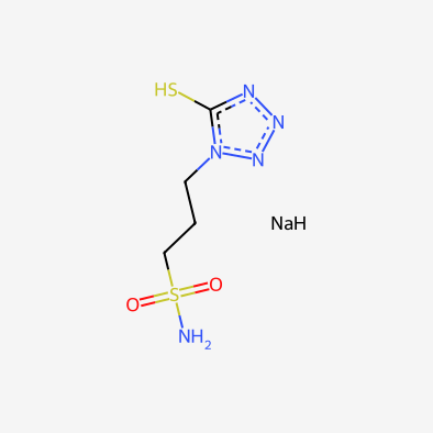 NS(=O)(=O)CCCn1nnnc1S.[NaH]